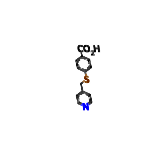 O=C(O)c1ccc(SCc2ccncc2)cc1